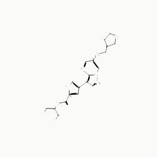 CCC(CC)NC(=O)c1cc(-c2cnn3cc(NCC4CCNC4)cnc23)cs1